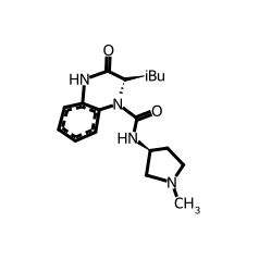 CC[C@H](C)[C@H]1C(=O)Nc2ccccc2N1C(=O)N[C@H]1CCN(C)C1